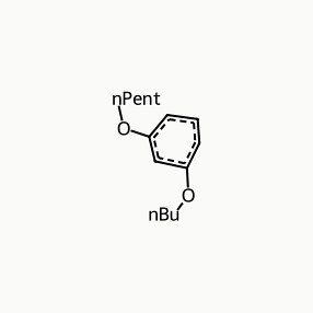 [CH2]CCCCOc1cccc(OCCCC)c1